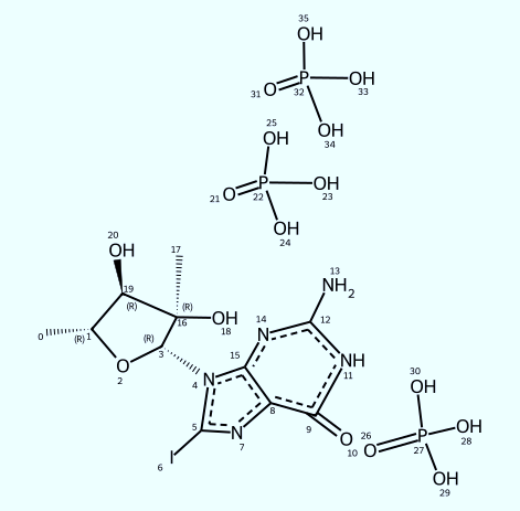 C[C@H]1O[C@@H](n2c(I)nc3c(=O)[nH]c(N)nc32)[C@](C)(O)[C@@H]1O.O=P(O)(O)O.O=P(O)(O)O.O=P(O)(O)O